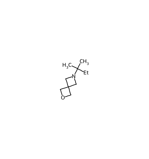 CCC(C)(C)N1CC2(COC2)C1